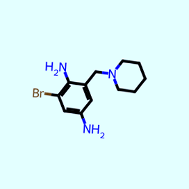 Nc1cc(Br)c(N)c(CN2CCCCC2)c1